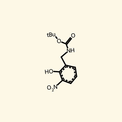 CC(C)(C)OC(=O)NCc1cccc([N+](=O)[O-])c1O